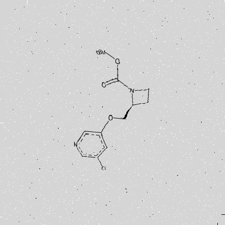 CC(C)(C)OC(=O)N1CC[C@H]1COc1cncc(Cl)c1